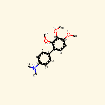 COc1c[c]c(-c2ccc(N(C)C)cc2)c(OC)c1OC